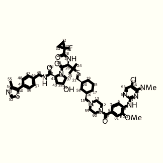 CNc1nc(Nc2ccc(C(=O)N3CCN(C[C@@H]4CCC[C@H](CSC(C)(C)[C@H](NC(=O)C5(F)CC5)C(=O)N5C[C@H](O)C[C@H]5C(=O)NCc5ccc(-c6scnc6C)cc5)C4)CC3)cc2OC)ncc1Cl